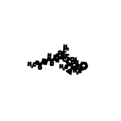 COC(=O)C12CC(NC(=O)c3csc([C@@H](C[C@H](C(C)C)N(C)C(=O)[C@@H](NC(=O)[C@H]4CCCCN4C)C4CC4)OC(C)=O)n3)(C1)C2